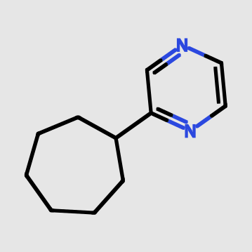 c1cnc(C2CCCCCC2)cn1